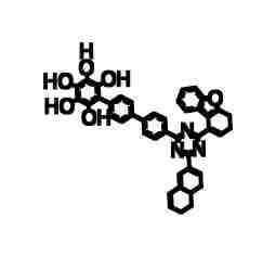 Oc1c(O)c(O)c(-c2ccc(-c3ccc(-c4nc(C5=CCC6CCC=CC6=C5)nc(C5=CCCc6oc7ccccc7c65)n4)cc3)cc2)c(O)c1O